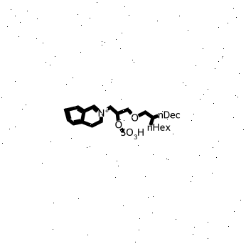 CCCCCCCCCCC(CCCCCC)COCC(C[N+]1=Cc2ccccc2CC1)OS(=O)(=O)O